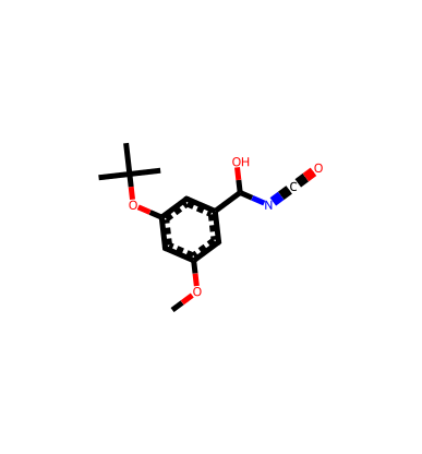 COc1cc(OC(C)(C)C)cc(C(O)N=C=O)c1